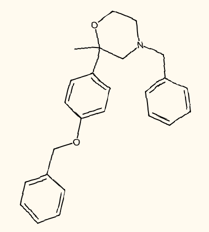 CC1(c2ccc(OCc3ccccc3)cc2)CN(Cc2ccccc2)CCO1